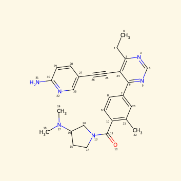 CCc1ncnc(-c2ccc(C(=O)N3CCC(N(C)C)C3)c(C)c2)c1C#Cc1ccc(N)nc1